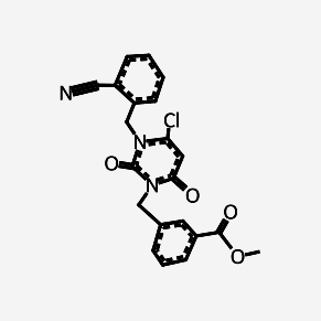 COC(=O)c1cccc(Cn2c(=O)cc(Cl)n(Cc3ccccc3C#N)c2=O)c1